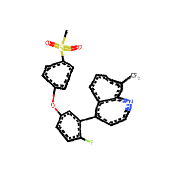 CS(=O)(=O)c1ccc(Oc2ccc(F)c(-c3ccnc4c(C(F)(F)F)cccc34)c2)cc1